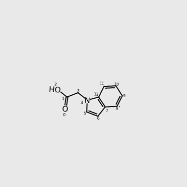 O=C(O)Cn1ccc2[c]cccc21